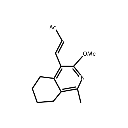 COc1nc(C)c2c(c1C=CC(C)=O)CCCC2